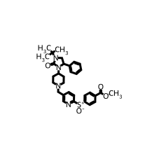 COC(=O)c1ccc([S+]([O-])c2ccc(CN3CCC(N4C(=O)N(C(C)(C)C)CC4c4ccccc4)CC3)cn2)cc1